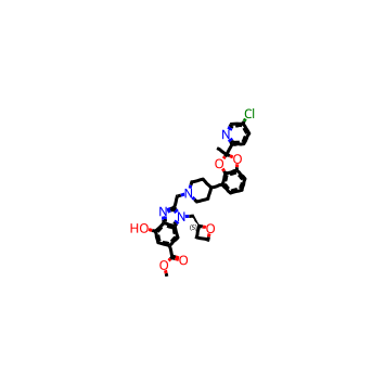 COC(=O)c1cc(O)c2nc(CN3CCC(c4cccc5c4OC(C)(c4ccc(Cl)cn4)O5)CC3)n(C[C@@H]3CCO3)c2c1